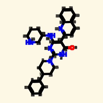 O=c1[nH]c(N2CCC(c3ccccc3)CC2)nc(NC2CCCNC2)c1-c1ccc2ccccc2n1